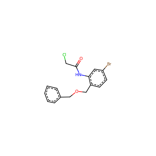 O=C(CCl)Nc1cc(Br)ccc1COCc1ccccc1